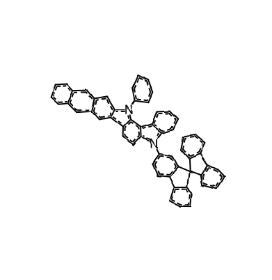 c1ccc(-n2c3cc4cc5ccccc5cc4cc3c3ccc4c(c5ccccc5n4-c4ccc5c(c4)C4(c6ccccc6-c6ccccc64)c4ccccc4-5)c32)cc1